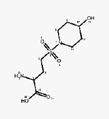 NC(CCS(=O)(=O)N1CCC(O)CC1)C(=O)O